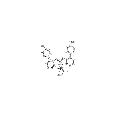 CCCCCC[Si](C)=[Hf]([CH3])([CH3])([CH]1C=Cc2c(-c3ccc(C(C)(C)C)cc3)cccc21)[CH]1C=Cc2c(-c3ccc(C(C)(C)C)cc3)cccc21